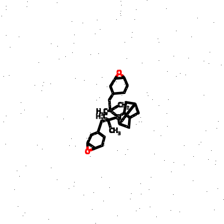 CC(C)(CC1CCC2OC2C1)[Si]1(C(C)(C)CC2CCC3OC3C2)C2CC3CC2CC31